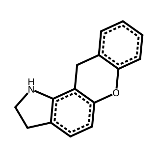 c1ccc2c(c1)Cc1c(ccc3c1NCC3)O2